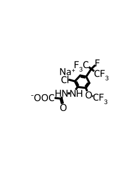 O=C([O-])C(=O)NNc1c(Cl)cc(C(F)(C(F)(F)F)C(F)(F)F)cc1OC(F)(F)F.[Na+]